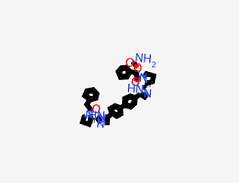 NC(=O)O[C@@H](C(=O)N1CCC[C@H]1c1ncc(-c2ccc(-c3ccc(-c4cnc([C@@H]5CCCN5C(=O)Cc5ccccc5)[nH]4)cc3)cc2)[nH]1)c1ccccc1